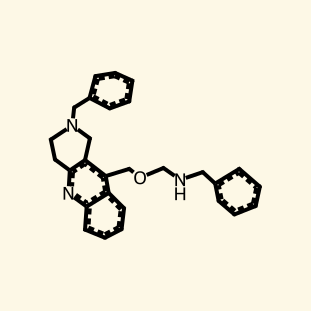 c1ccc(CNCOCc2c3c(nc4ccccc24)CCN(Cc2ccccc2)C3)cc1